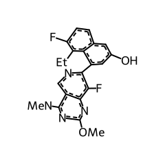 CCc1c(F)ccc2cc(O)cc(-c3ncc4c(NC)nc(OC)nc4c3F)c12